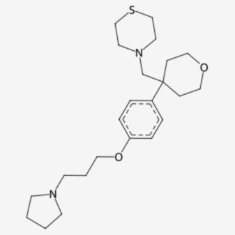 c1cc(C2(CN3CCSCC3)CCOCC2)ccc1OCCCN1CCCC1